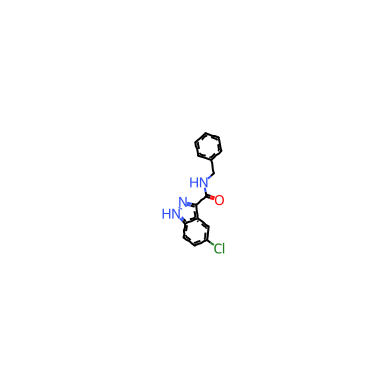 O=C(NCc1ccccc1)c1n[nH]c2ccc(Cl)cc12